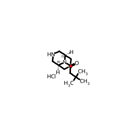 CC(C)(C)CC(=O)N1[C@@H]2CNC[C@H]1COC2.Cl